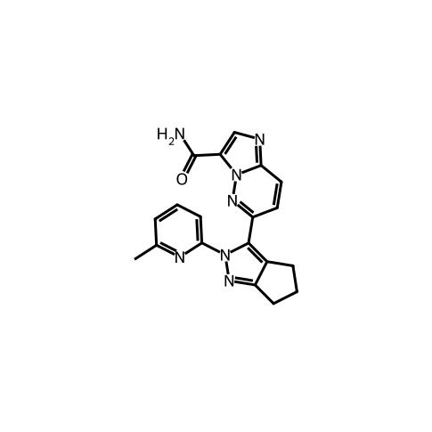 Cc1cccc(-n2nc3c(c2-c2ccc4ncc(C(N)=O)n4n2)CCC3)n1